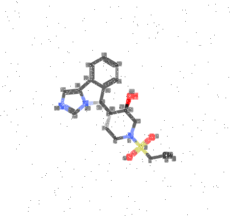 CCS(=O)(=O)N1CC[C@H]([C@H]2c3ccccc3-c3cncn32)[C@@H](O)C1